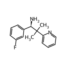 CC(C)(c1ccccn1)[C@H](N)c1cccc(F)c1